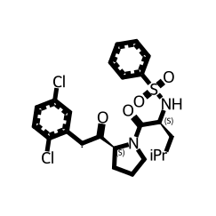 CC(C)C[C@H](NS(=O)(=O)c1ccccc1)C(=O)N1CCC[C@H]1C(=O)[CH]c1cc(Cl)ccc1Cl